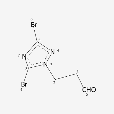 O=CCCn1nc(Br)nc1Br